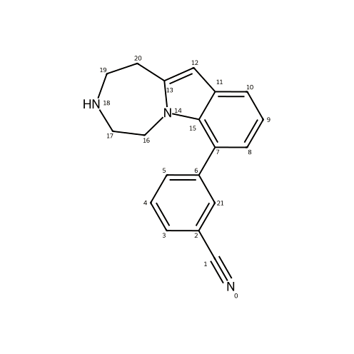 N#Cc1cccc(-c2cccc3cc4n(c23)CCNCC4)c1